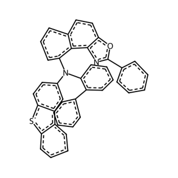 c1ccc(-c2nc3c(ccc4cccc(N(c5ccc6sc7ccccc7c6c5)c5ccccc5-c5ccccc5)c43)o2)cc1